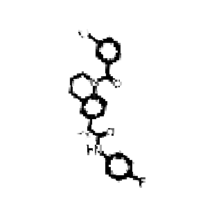 C[C@@H](C(=O)Nc1ccc(F)cc1)c1ccc2c(c1)CCCN2C(=O)c1cccc(Cl)c1